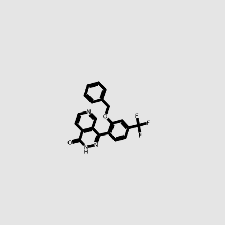 O=c1[nH]nc(-c2ccc(C(F)(F)F)cc2OCc2ccccc2)c2cnccc12